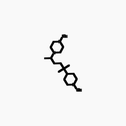 CC(CCC(C)(C)C1CCN(C(C)(C)C)CC1)N1CCN(C(C)(C)C)CC1